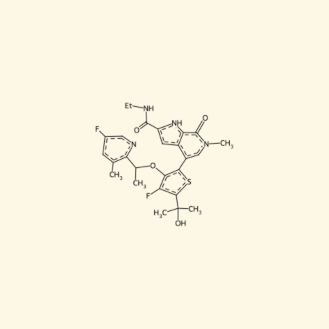 CCNC(=O)c1cc2c(-c3sc(C(C)(C)O)c(F)c3OC(C)c3ncc(F)cc3C)cn(C)c(=O)c2[nH]1